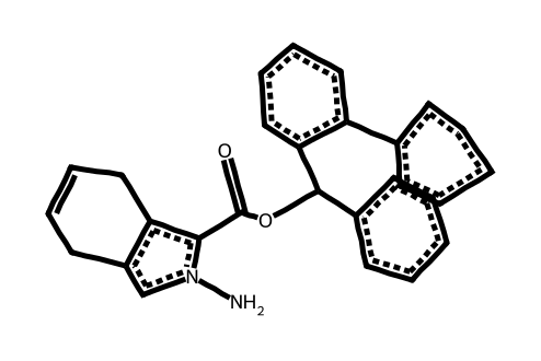 Nn1cc2c(c1C(=O)OC(c1ccccc1)c1ccccc1-c1ccccc1)CC=CC2